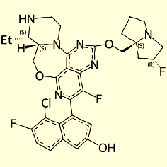 CC[C@@H]1NCCN2c3nc(OC[C@@]45CCCN4C[C@H](F)C5)nc4c(F)c(-c5cc(O)cc6ccc(F)c(Cl)c56)nc(c34)OC[C@H]12